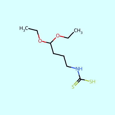 CCOC(CCCNC(=S)S)OCC